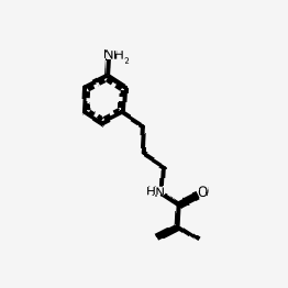 C=C(C)C(=O)NCCCc1cccc(N)c1